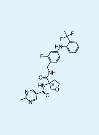 Cc1ncc(C(=O)N[C@@]2(C(=O)NCc3ccc(Nc4ccccc4C(C)(F)F)cc3F)CCOC2)cn1